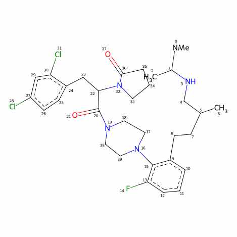 CNC(C)NCC(C)CCc1cccc(F)c1N1CCN(C(=O)C(Cc2ccc(Cl)cc2Cl)N2CCCC2=O)CC1